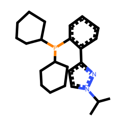 CC(C)n1ccc(-c2ccccc2P(C2CCCCC2)C2CCCCC2)n1